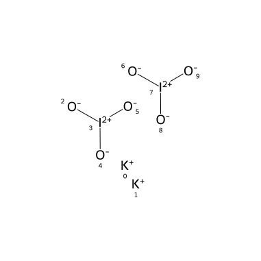 [K+].[K+].[O-][I+2]([O-])[O-].[O-][I+2]([O-])[O-]